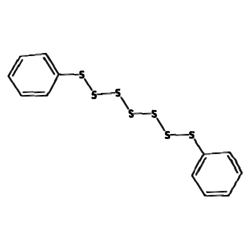 c1ccc(SSSSSSSc2ccccc2)cc1